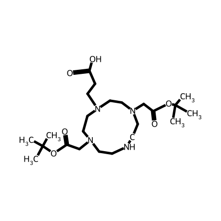 CC(C)(C)OC(=O)CN1CCNCCN(CC(=O)OC(C)(C)C)CCN(CCC(=O)O)CC1